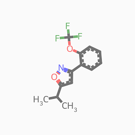 CC(C)c1cc(-c2ccccc2OC(F)(F)F)no1